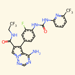 Nc1ncnn2cc(C(=O)NCC(F)(F)F)c(-c3ccc(NC(=O)Nc4cccc(C(F)(F)F)n4)c(F)c3)c12